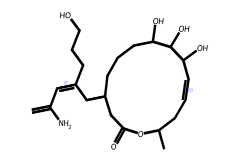 C=C(N)/C=C(/CCCO)CC1CCCC(O)C(O)C(O)/C=C\CC(C)OC(=O)C1